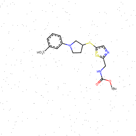 CC(C)(C)OC(=O)NCc1ncc(SC2CCN(c3cccc(C(=O)O)c3)C2)s1